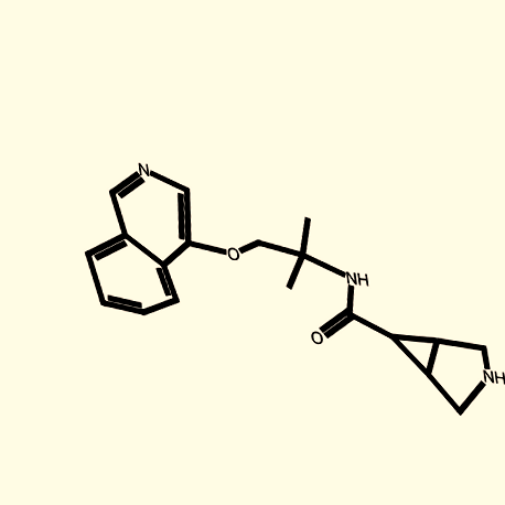 CC(C)(COc1cncc2ccccc12)NC(=O)C1C2CNCC21